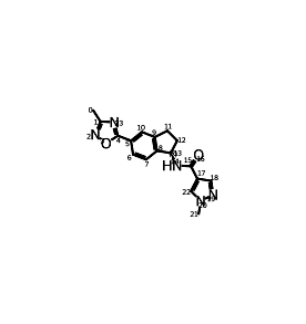 Cc1noc(-c2ccc3c(c2)CC[C@H]3NC(=O)c2cnn(C)c2)n1